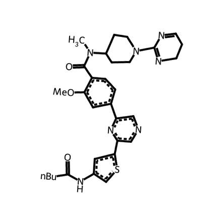 CCCCC(=O)Nc1csc(-c2cncc(-c3ccc(C(=O)N(C)C4CCN(C5=NCCC=N5)CC4)c(OC)c3)n2)c1